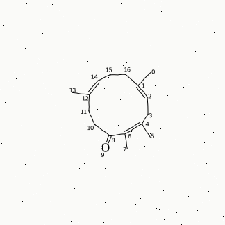 CC1=CCC(C)=C(C)C(=O)CCC(C)=CCC1